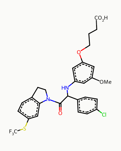 COc1cc(NC(C(=O)N2CCc3ccc(SC(F)(F)F)cc32)c2ccc(Cl)cc2)cc(OCCCC(=O)O)c1